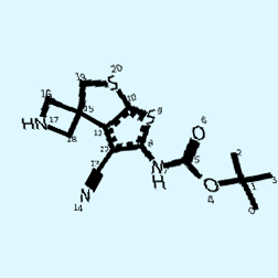 CC(C)(C)OC(=O)Nc1sc2c(c1C#N)C1(CNC1)CS2